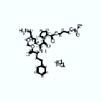 CCOC(=O)[C@H](CCc1ccccc1)N[C@@H](CCCCN)C(=O)N1CCC[C@H]1C(=O)OCCCO[N+](=O)[O-].Cl.Cl